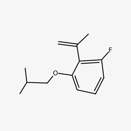 C=C(C)c1c(F)cccc1OCC(C)C